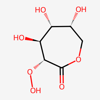 O=C1OC[C@@H](O)[C@@H](O)[C@H](O)[C@H]1OO